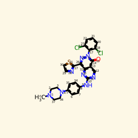 CN1CCN(c2ccc(Nc3ncc4c(=O)n(-c5c(Cl)cccc5Cl)nc(-c5nccs5)c4n3)cc2)CC1